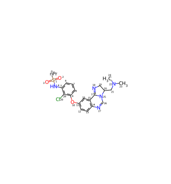 CCCS(=O)(=O)Nc1cccc(Oc2ccc3c(c2)C2=NCC(CN(C)C)N2C=N3)c1Cl